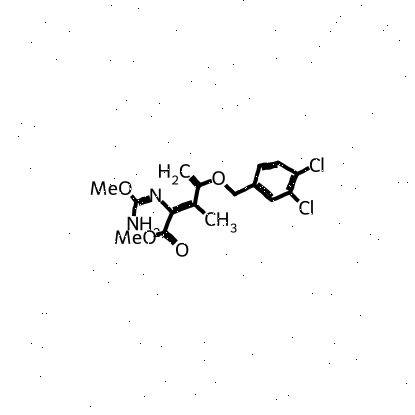 C=C(OCc1ccc(Cl)c(Cl)c1)/C(C)=C(\N=C(/N)OC)C(=O)OC